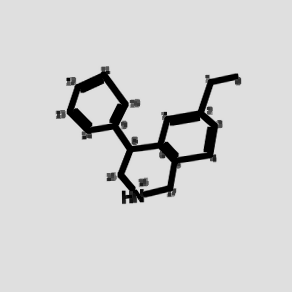 CCc1ccc2c(c1)C(c1ccccc1)CNC2